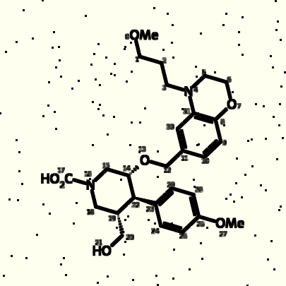 COCCCN1CCOc2ccc(CO[C@H]3CN(C(=O)O)C[C@@H](CO)[C@@H]3c3ccc(OC)cc3)cc21